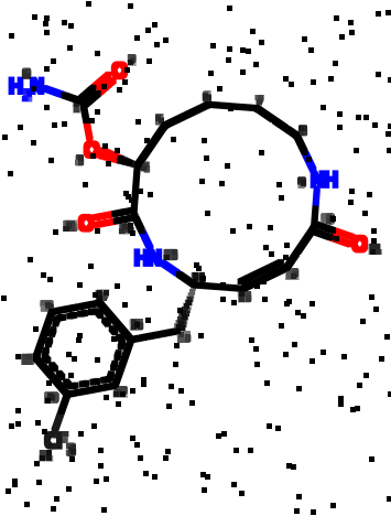 NC(=O)O[C@H]1CCCCNC(=O)C=C[C@H](Cc2cccc(C(F)(F)F)c2)NC1=O